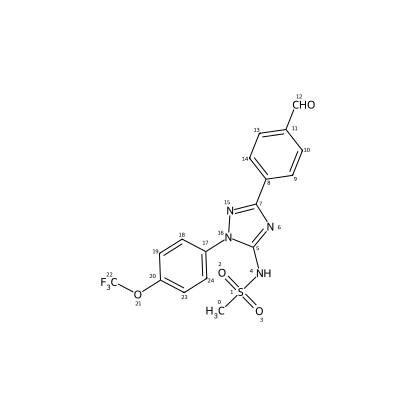 CS(=O)(=O)Nc1nc(-c2ccc(C=O)cc2)nn1-c1ccc(OC(F)(F)F)cc1